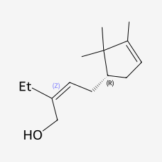 CC/C(=C/C[C@H]1CC=C(C)C1(C)C)CO